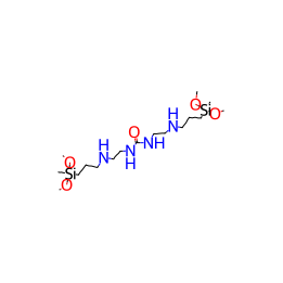 CO[Si](C)(CCCNCCNC(=O)NCCNCCC[Si](C)(OC)OC)OC